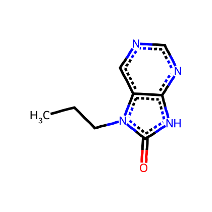 CCCn1c(=O)[nH]c2ncncc21